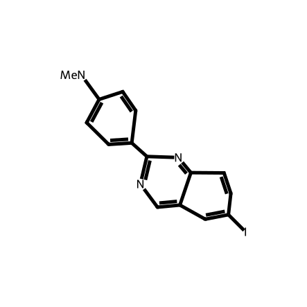 CNc1ccc(-c2ncc3cc(I)ccc3n2)cc1